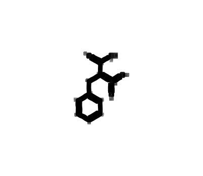 O=C(O)C(Cc1ccccc1)=S(=O)=O